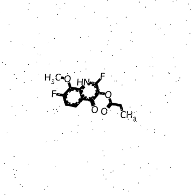 CCC(=O)Oc1c(F)[nH]c2c(OC)c(F)ccc2c1=O